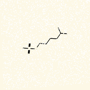 CC(C)C(C)CCCCNS(C)(=O)=O